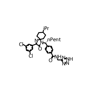 CCCCC[C@H](c1ccc(C(=O)NCc2nn[nH]n2)cc1)N1C(=O)C(c2cc(Cl)cc(Cl)c2)=NC12CCC(C(C)C)CC2